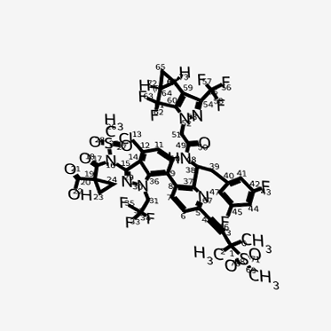 CC(C)(C#Cc1ccc(-c2ccc(Cl)c3c(N(C(=O)C4(C(=O)O)CC4)S(C)(=O)=O)nn(CC(F)(F)F)c23)c(C(Cc2cc(F)cc(F)c2)NC(=O)Cn2nc(C(F)(F)F)c3c2C(F)(F)[C@@H]2C[C@H]32)n1)S(C)(=O)=O